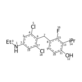 CCNc1cc(Cl)c(Cc2ccc(O)c(C(C)C)c2F)c(Cl)c1